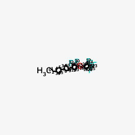 CCCC1CCC(C2CCC(c3ccc(OCc4cc(F)c(C(F)(F)F)c(F)c4)c(F)c3F)CC2)CC1